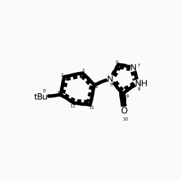 CC(C)(C)c1ccc(-n2cn[nH]c2=O)cc1